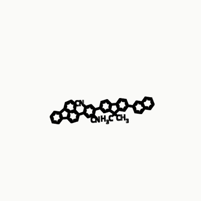 [C-]#[N+]c1cc(-c2ccc3c(c2)C(C)(C)c2cc(-c4ccc5ccccc5c4)ccc2-3)c(C#N)cc1-c1ccc2c3c(cccc13)-c1ccccc1-2